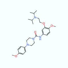 COc1ccc(N2CCN(C(=O)Nc3ccc(OC)c(OCCN(C(C)C)C(C)C)c3)CC2)cc1